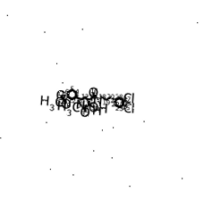 Cn1c(-c2cccc(S(C)(=O)=O)c2)cc(C(=O)NCCCc2ccc(Cl)c(Cl)c2)c(O)c1=O